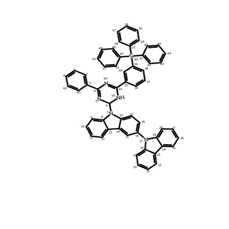 c1ccc(C2=NC(n3c4ccccc4c4cc(-n5c6ccccc6c6ccccc65)ccc43)NC(c3cccc([Si](c4ccccc4)(c4ccccc4)c4ccccc4)c3)=N2)cc1